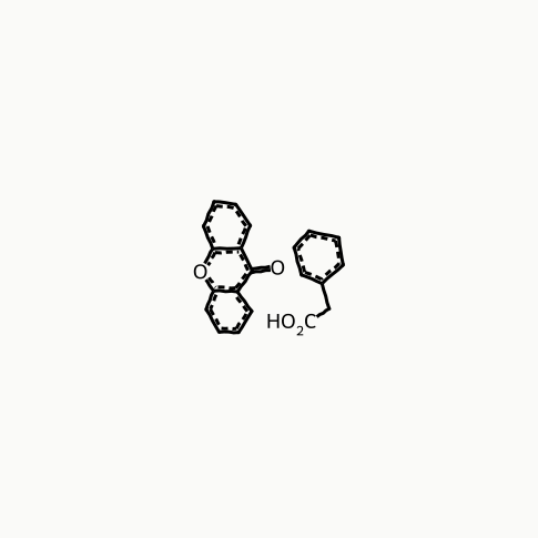 O=C(O)Cc1ccccc1.O=c1c2ccccc2oc2ccccc12